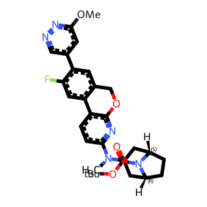 COc1cc(-c2cc3c(cc2F)-c2ccc(N(C)C4C[C@H]5CC[C@@H](C4)N5C(=O)OC(C)(C)C)nc2OC3)cnn1